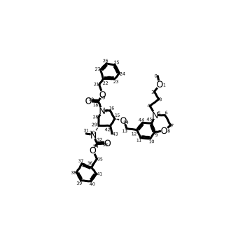 COCCCN1CCOc2ccc(CO[C@H]3CN(C(=O)OCc4ccccc4)C[C@@H](N(C)C(=O)OCc4ccccc4)C3C)cc21